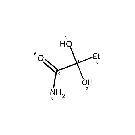 CCC(O)(O)C(N)=O